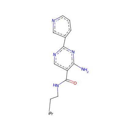 CC(C)CCNC(=O)c1cnc(-c2cccnc2)nc1N